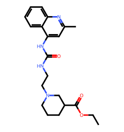 CCOC(=O)C1CCCN(CCNC(=O)Nc2cc(C)nc3ccccc23)C1